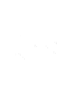 Clc1cc(N2CCN(c3ncccn3)CC2)c2cn[nH]c2c1